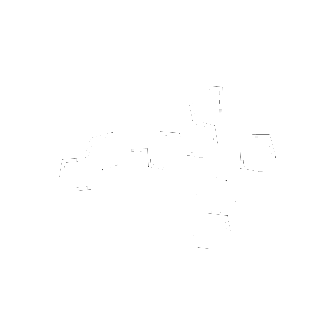 c1ccc(-c2nc3ccccc3nc2-c2cc3ccccc3c3cc4c(cc23)sc2c3ccccc3ccc42)cc1